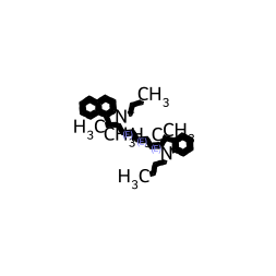 CCCCN1/C(=C/C=C/C=C/C2=[N+](CCCC)c3ccc4ccccc4c3C2(C)C)C(C)(C)c2ccccc21